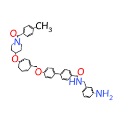 Cc1ccc(C(=O)N2CCC(OC3=CC=C(COc4ccc(-c5ccc(C(=O)NCc6cccc(N)c6)cc5)cc4)C=CC3)CC2)cc1